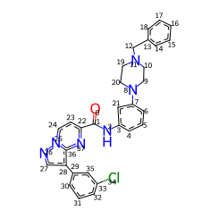 O=C(Nc1cccc(N2CCN(Cc3ccccc3)CC2)c1)c1ccn2ncc(-c3cccc(Cl)c3)c2n1